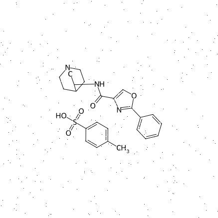 Cc1ccc(S(=O)(=O)O)cc1.O=C(NC1CN2CCC1CC2)c1coc(-c2ccccc2)n1